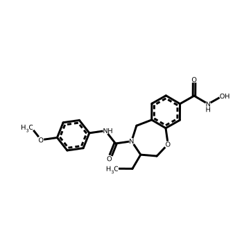 CCC1COc2cc(C(=O)NO)ccc2CN1C(=O)Nc1ccc(OC)cc1